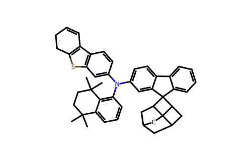 CC1(C)CCC(C)(C)c2c(N(c3ccc4c(c3)C3(c5ccccc5-4)C4CC5CC6CC3C64C5)c3ccc4c5c(sc4c3)CCC=C5)cccc21